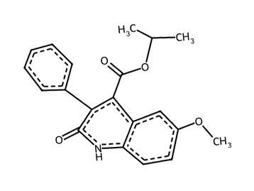 COc1ccc2[nH]c(=O)c(-c3ccccc3)c(C(=O)OC(C)C)c2c1